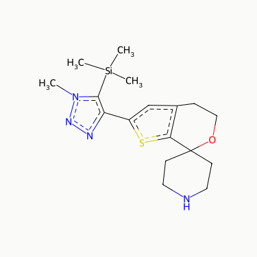 Cn1nnc(-c2cc3c(s2)C2(CCNCC2)OCC3)c1[Si](C)(C)C